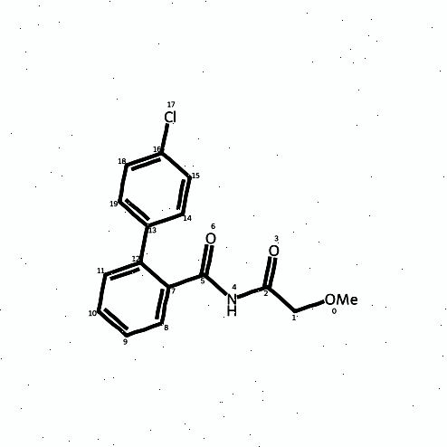 COCC(=O)NC(=O)c1ccccc1-c1ccc(Cl)cc1